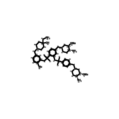 CO[C@H]1CN(Cc2ccc(C(C)(C)Cc3cc(CN4CC[C@@H](N)[C@H](OC)C4)ccc3C(C)(C)Cc3cc(CN4CCC(O)(CN)CC4)ccc3C(C)(C)C)cc2)CC[C@H]1N